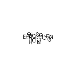 CC[S+]([O-])Nc1cccc(Cc2c(CN(C)C)c3ccc(OC(=O)N(C)C)cc3oc2=O)c1Cl